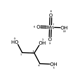 OCC(O)CO.[O]=[Mn](=[O])(=[O])[OH]